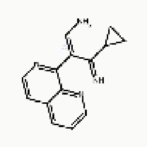 N=C(/C(=C\N)c1nccc2cccnc12)C1CC1